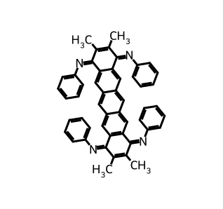 Cc1c(C)/c(=N/c2ccccc2)c2cc3cc4cc5/c(=N\c6ccccc6)c(C)c(C)/c(=N/c6ccccc6)c5cc4cc3cc2/c1=N\c1ccccc1